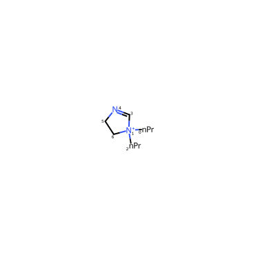 CCC[N+]1(CCC)C=NCC1